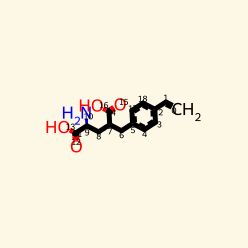 C=Cc1ccc(CC(C[C@H](N)C(=O)O)C(=O)O)cc1